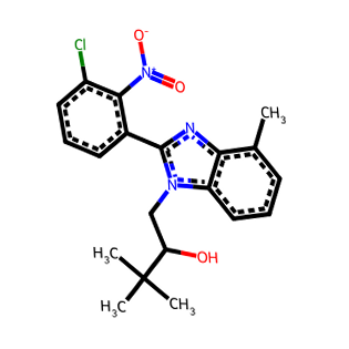 Cc1cccc2c1nc(-c1cccc(Cl)c1[N+](=O)[O-])n2CC(O)C(C)(C)C